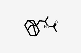 CC(=O)NC(C)CC12CC3CC(CC(C3)C1)C2